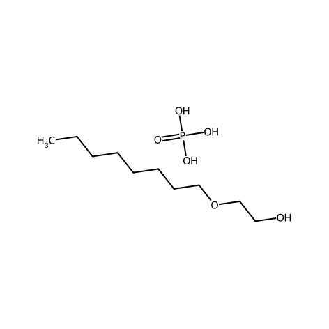 CCCCCCCCOCCO.O=P(O)(O)O